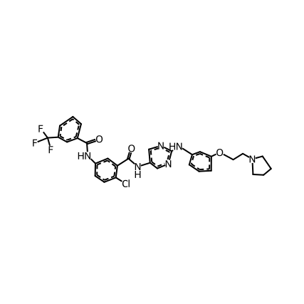 O=C(Nc1ccc(Cl)c(C(=O)Nc2cnc(Nc3cccc(OCCN4CCCC4)c3)nc2)c1)c1cccc(C(F)(F)F)c1